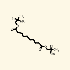 CCCCC(C)(CC)COC(=O)CCCCCCCCC(=O)OCC(C)(CC)CCCC